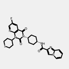 O=C(N[C@H]1CC[C@@H](n2c(=O)c3cc(F)cnc3n(C3CCSCC3)c2=O)CC1)c1cn2ccccc2n1